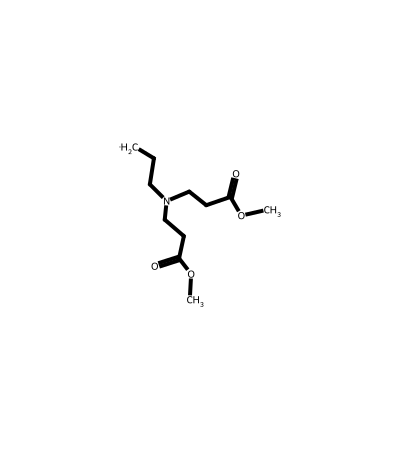 [CH2]CCN(CCC(=O)OC)CCC(=O)OC